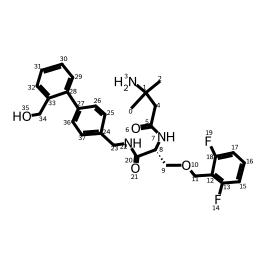 CC(C)(N)CC(=O)N[C@H](COCc1c(F)cccc1F)C(=O)NCc1ccc(-c2ccccc2CO)cc1